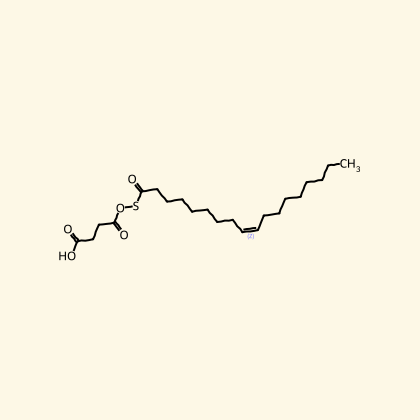 CCCCCCCC/C=C\CCCCCCCC(=O)SOC(=O)CCC(=O)O